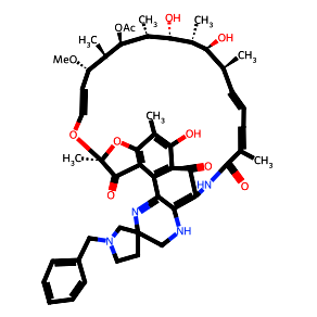 CO[C@H]1/C=C/O[C@@]2(C)Oc3c(C)c(O)c4c(c3C2=O)C2=NC3(CCN(Cc5ccccc5)C3)CNC2=C(NC(=O)/C(C)=C\C=C\[C@H](C)[C@H](O)[C@@H](C)[C@@H](O)[C@@H](C)[C@H](OC(C)=O)[C@@H]1C)C4=O